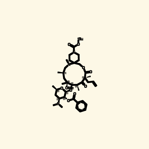 C=CC[C@]1(C)C(=O)OCC2(CCN(C(=O)OC(C)(C)C)CC2)N(C)C[C@H](C)C[C@@](C)(OC)[C@H](O[C@@H]2O[C@H](C)C[C@H](N(C)C)[C@H]2OC(=O)c2ccccc2)[C@@H](C)C1=O